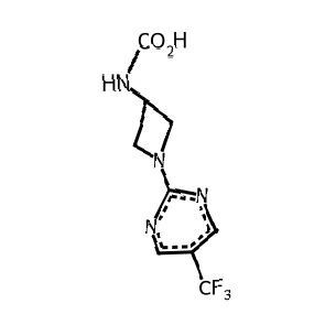 O=C(O)NC1CN(c2ncc(C(F)(F)F)cn2)C1